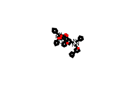 c1ccc(-c2cccc(-c3nc(-c4ccccc4)nc(-c4ccc5c(c4)-c4cccc(-c6nc(-c7ccccc7)nc(-c7ccccc7)n6)c4C54c5ccccc5Oc5ccccc54)n3)c2)cc1